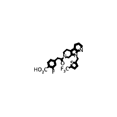 O=C(O)c1ccc(CC(=O)N2CCc3c(n(Cc4ccc(C(F)(F)F)s4)c4ncccc34)C2)cc1F